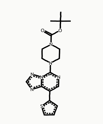 CC(C)(C)OC(=O)N1CCN(c2ncc(-c3cccs3)c3ncnn23)CC1